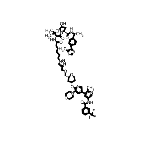 Cc1ncc(NC(=O)c2cccc(C(F)(F)F)c2)cc1-c1cnc(O[C@H]2CCO[C@@H](COCc3cn(CCCCCC(=O)N[C@@H](C(=O)N4C[C@H](O)C[C@H]4C(=O)N[C@@H](C)c4ccc(-c5scnc5C)cc4)C(C)(C)C)nn3)C2)c(N2CCOCC2)c1